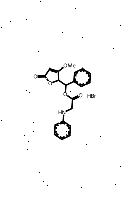 Br.COC1=CC(=O)OC1C(OC(=O)CNc1ccccc1)c1ccccc1